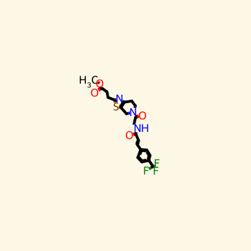 COC(=O)CCc1nc2c(s1)CN(C(=O)CNC(=O)/C=C/c1ccc(C(F)(F)F)cc1)CC2